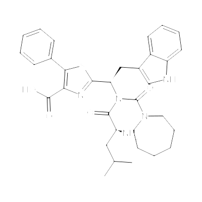 CC(C)C[C@H](N)C(=O)N(C(=O)N1CCCCCC1)[C@H](Cc1c[nH]c2ccccc12)c1nc(C(=O)O)c(-c2ccccc2)s1